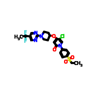 CCS(=O)(=O)c1ccc(-n2cc(Cl)c(OC3CCN(c4ncc(C(C)(F)F)cn4)CC3)cc2=O)cc1